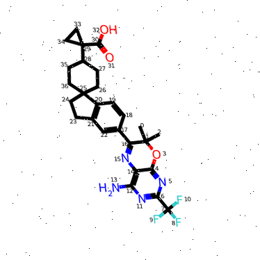 CC1(C)Oc2nc(C(F)(F)F)nc(N)c2N=C1c1ccc2c(c1)CCC21CCC(C2(C(=O)O)CC2)CC1